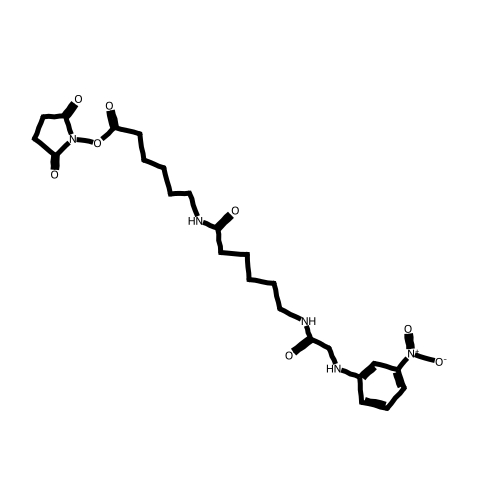 O=C(CCCCCNC(=O)CNc1cccc([N+](=O)[O-])c1)NCCCCCC(=O)ON1C(=O)CCC1=O